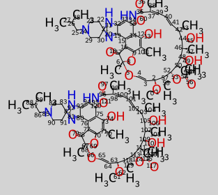 CO[C@H]1/C=C/O[C@@]2(C)Oc3c(C)c(O)c4c(c3C2=O)C2=NC3(CCN(CC(C)C)CC3)NC2=C(NC(=O)/C(C)=C\C=C\[C@H](C)[C@H](O)[C@@H](C)[C@@H](O)[C@@H](C)[C@H](OC(C)=O)[C@@H]1C)C4=O.CO[C@H]1/C=C/O[C@@]2(C)Oc3c(C)c(O)c4c(c3C2=O)C2=NC3(CCN(CC(C)C)CC3)NC2=C(NC(=O)/C(C)=C\C=C\[C@H](C)[C@H](O)[C@@H](C)[C@@H](O)[C@@H](C)[C@H](OC(C)=O)[C@@H]1C)C4=O